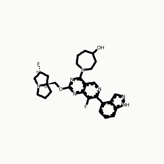 OC1CCCN(c2nc(OC[C@@]34CCCN3C[C@H](F)C4)nc3c(F)c(-c4cccc5[nH]ncc45)ncc23)CC1